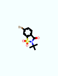 CC(C)(C)N1C(=O)c2ccc(Br)cc2S1(=O)=O